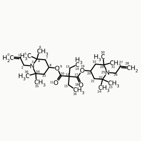 C=CCN1C(C)(C)CC(OC(=O)C(CC)(CC)C(=O)OC2CC(C)(C)N(CC=C)C(C)(C)C2)CC1(C)C